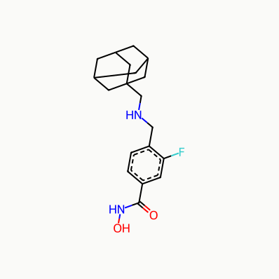 O=C(NO)c1ccc(CNCC23CC4CC(CC(C4)C2)C3)c(F)c1